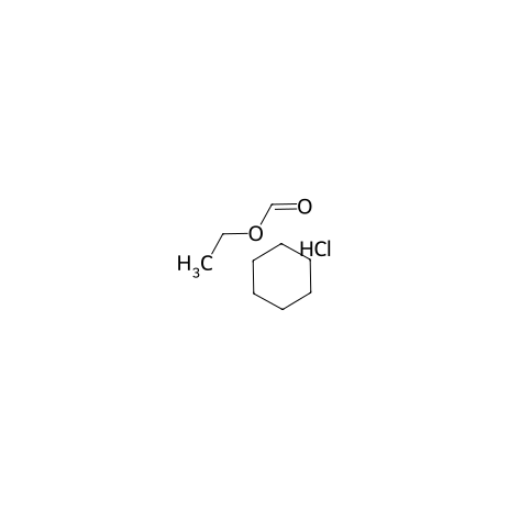 C1CCCCC1.CCOC=O.Cl